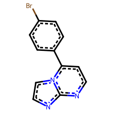 Brc1ccc(-c2ccnc3nccn23)cc1